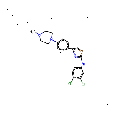 CN1CCN(c2ccc(-c3csc(Nc4ccc(Cl)c(Cl)c4)n3)cc2)CC1